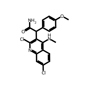 CNc1c(C(C(N)=O)c2ccc(OC)cc2)c(Cl)nc2cc(Cl)ccc12